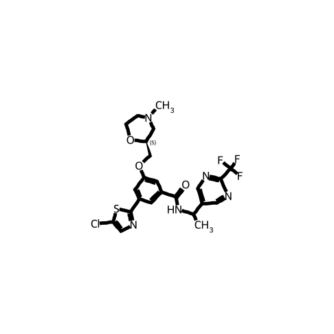 CC(NC(=O)c1cc(OC[C@@H]2CN(C)CCO2)cc(-c2ncc(Cl)s2)c1)c1cnc(C(F)(F)F)nc1